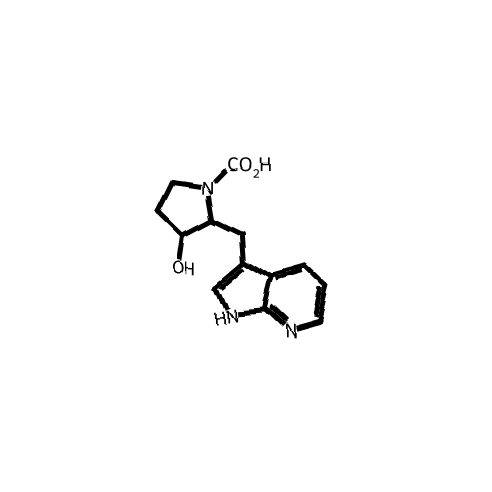 O=C(O)N1CCC(O)C1Cc1c[nH]c2ncccc12